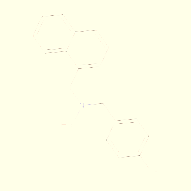 CCc1ccc(CN(C)Cc2cccc3ccccc23)cc1